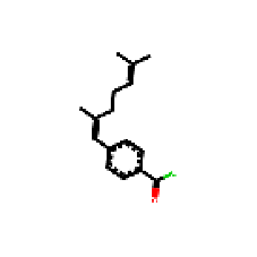 CC(C)=CCCC(C)=Cc1ccc(C(=O)Cl)cc1